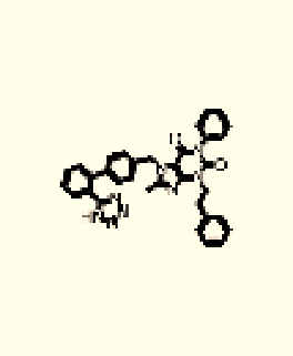 Cc1nc2c(c(=O)n(-c3ccccc3)c(=O)n2CCc2ccccc2)n1Cc1ccc(-c2ccccc2-c2nnn[nH]2)cc1